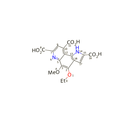 CCOc1c(OC)c2nc(C(=O)O)cc(C(=O)O)c2c2[nH]c(C(=O)O)cc12